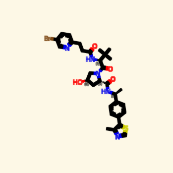 Cc1ncsc1-c1ccc([C@H](C)NC(=O)[C@@H]2C[C@@H](O)CN2C(=O)[C@@H](NC(=O)CCc2ccc(Br)cn2)C(C)(C)C)cc1